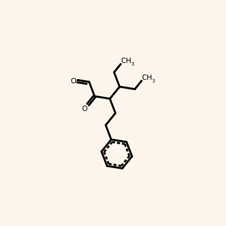 CC[C](CC)C(CCc1ccccc1)C(=O)C=O